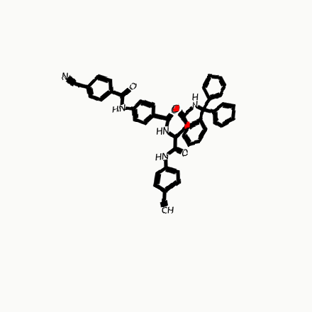 C#Cc1ccc(NC(=O)C(CC(=O)NC(c2ccccc2)(c2ccccc2)c2ccccc2)NC(=O)c2ccc(NC(=O)c3ccc(C#N)cc3)cc2)cc1